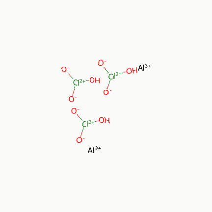 [Al+3].[Al+3].[O-][Cl+2]([O-])O.[O-][Cl+2]([O-])O.[O-][Cl+2]([O-])O